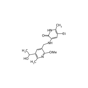 CCc1cc(NCc2cc(C(C)O)c(C)nc2OC)c(=O)[nH]c1C